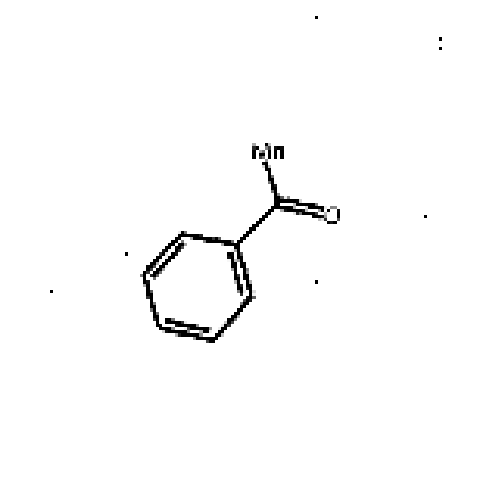 O=[C]([Mn])c1ccccc1